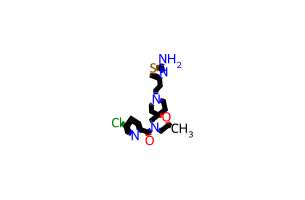 CC1CN(C(=O)c2ccc(Cl)cn2)CC2(CCN(CCc3csc(N)n3)CC2)O1